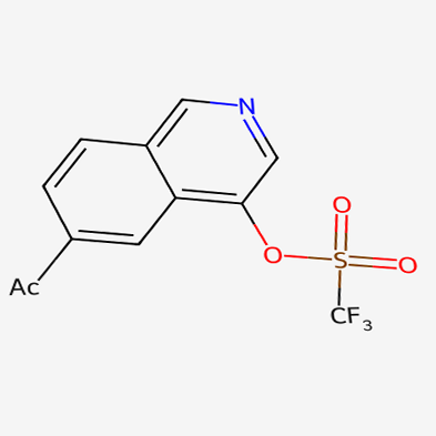 CC(=O)c1ccc2cncc(OS(=O)(=O)C(F)(F)F)c2c1